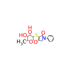 CC1OC2OC3=C(SC2C(O)C1O)C(=O)N(c1ccccc1)C3